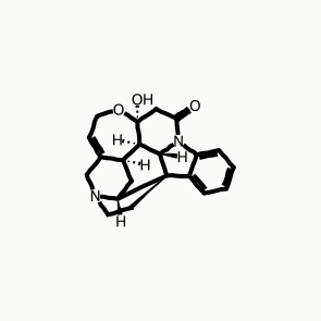 O=C1C[C@]2(O)OCC=C3CN4CC[C@]56c7ccccc7N1[C@H]5[C@H]2[C@H]3C[C@@H]46